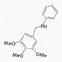 COc1cc(CPc2ccccc2)cc(OC)c1OC